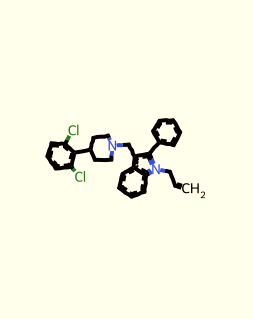 C=CCn1c(-c2ccccc2)c(CN2CCC(c3c(Cl)cccc3Cl)CC2)c2ccccc21